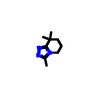 Cc1nnc2n1CCCC2(C)C